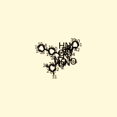 CCCS(=O)(=O)N(C(=O)[C@H](Cc1ccc(-c2ccccc2)cc1)N(C)C(=O)c1cc(C)cc(C)c1)[C@@H](Cc1c[nH]c2ccccc12)C(N)=O